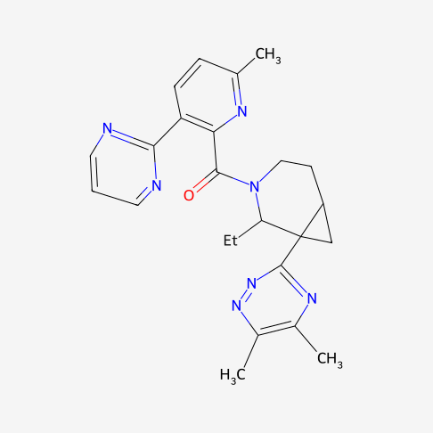 CCC1N(C(=O)c2nc(C)ccc2-c2ncccn2)CCC2CC21c1nnc(C)c(C)n1